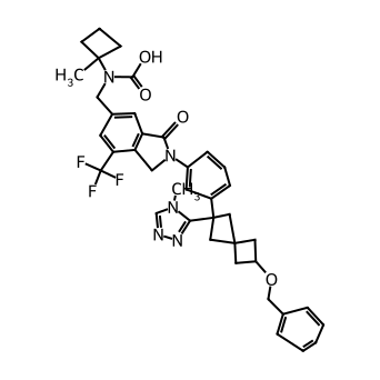 Cn1cnnc1C1(c2cccc(N3Cc4c(cc(CN(C(=O)O)C5(C)CCC5)cc4C(F)(F)F)C3=O)c2)CC2(CC(OCc3ccccc3)C2)C1